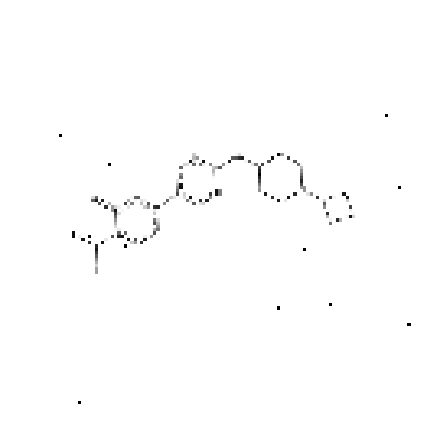 O=c1cc(-c2cnc(OC3CCN(C4CCC4)CC3)nc2)ccn1C(F)F